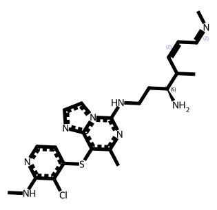 C/N=C\C=C/C(C)[C@@H](N)CCNc1nc(C)c(Sc2ccnc(NC)c2Cl)c2nccn12